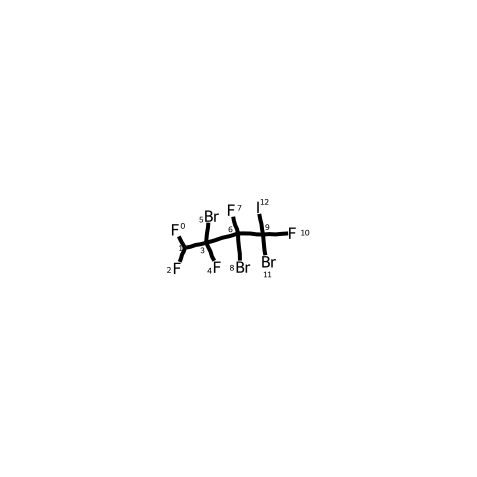 FC(F)C(F)(Br)C(F)(Br)C(F)(Br)I